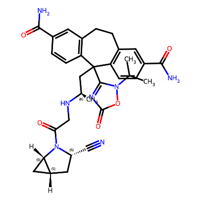 CC(C)n1oc(=O)nc1C1(C[C@@H](C)NCC(=O)N2[C@H](C#N)C[C@@H]3C[C@@H]32)c2ccc(C(N)=O)cc2CCc2cc(C(N)=O)ccc21